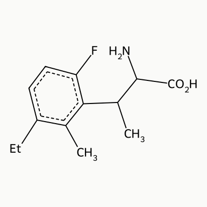 CCc1ccc(F)c(C(C)C(N)C(=O)O)c1C